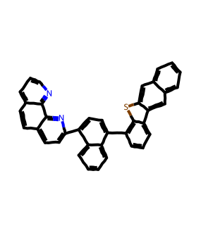 c1ccc2cc3c(cc2c1)sc1c(-c2ccc(-c4ccc5ccc6cccnc6c5n4)c4ccccc24)cccc13